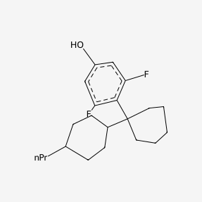 CCCC1CCC(C2(c3c(F)cc(O)cc3F)CCCCC2)CC1